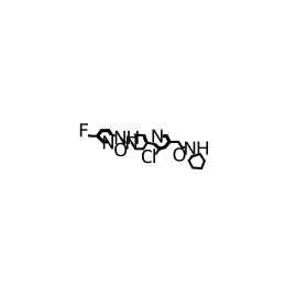 O=C(Cc1cnc(C2=CCN(C(=O)Nc3ccc(CF)cn3)CC2)c(Cl)c1)NC1CCCCC1